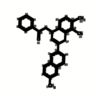 Cc1ccc2nc(C3=CN(CC(=O)c4ccccc4)c4ccc(C)c(C#N)c4C3)ccc2c1